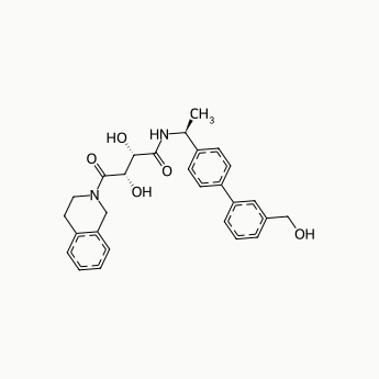 C[C@H](NC(=O)[C@@H](O)[C@H](O)C(=O)N1CCc2ccccc2C1)c1ccc(-c2cccc(CO)c2)cc1